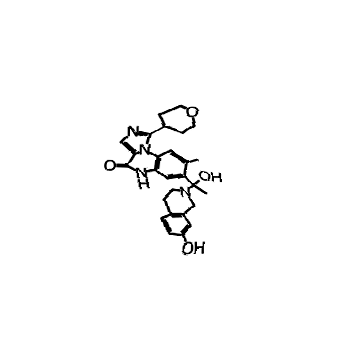 Cc1cc2c(cc1C(C)(O)N1CCc3ccc(O)cc3C1)[nH]c(=O)c1cnc(C3CCOCC3)n12